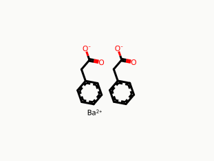 O=C([O-])Cc1ccccc1.O=C([O-])Cc1ccccc1.[Ba+2]